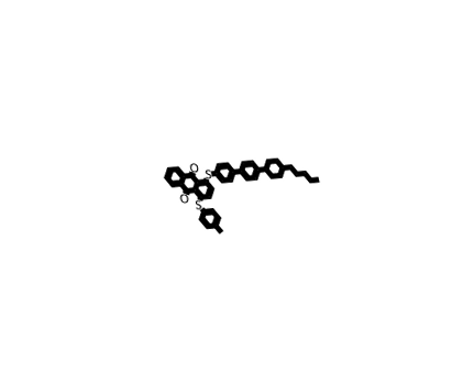 CCCCCC1CCC(c2ccc(-c3ccc(Sc4ccc(Sc5ccc(C)cc5)c5c4C(=O)c4ccccc4C5=O)cc3)cc2)CC1